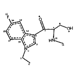 CCn1cc(C(=O)C(CO)NC)c2cc(F)ccc21